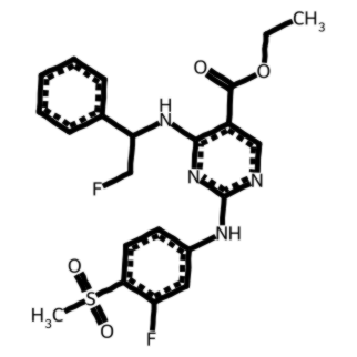 CCOC(=O)c1cnc(Nc2ccc(S(C)(=O)=O)c(F)c2)nc1NC(CF)c1ccccc1